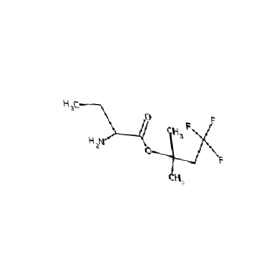 CCC(N)C(=O)OC(C)(C)CC(F)(F)F